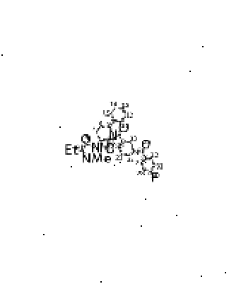 CCC(NC)C(=O)Nc1ccc(-c2ccccc2)n(C(=O)c2cccc(C(=O)c3ccc(F)cc3)c2)c1=O